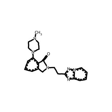 CN1CCN(c2cccc3c2C(=O)N(CCc2nc4ccccn4n2)C3)CC1